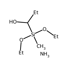 CCO[Si](C)(OCC)C(O)CC.N